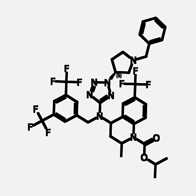 CC(C)OC(=O)N1c2ccc(C(F)(F)F)cc2C(N(Cc2cc(C(F)(F)F)cc(C(F)(F)F)c2)c2nnn([C@H]3CCN(Cc4ccccc4)C3)n2)CC1C